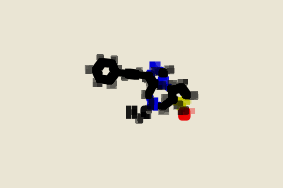 CN1Cc2c(C#Cc3ccccc3)ncn2-c2cc[s+]([O-])c2C1